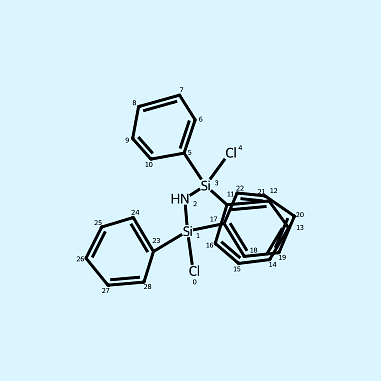 Cl[Si](N[Si](Cl)(c1ccccc1)c1ccccc1)(c1ccccc1)c1ccccc1